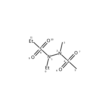 CCN(N(C)S(C)(=O)=O)S(=O)(=O)CC